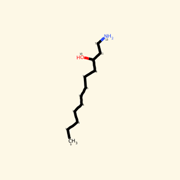 CCCCCCCCCC(O)CCN